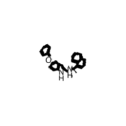 C[C@@H](NCc1cc2cc(OCc3ccccc3)ccc2[nH]1)c1cccc2ccccc12